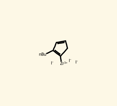 CCCCC1=[C]([Zr+3])CC=C1.[I-].[I-].[I-]